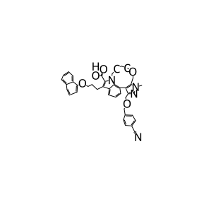 Cn1nc(COCc2ccc(C#N)cc2)c2c1COCCCCn1c(C(=O)O)c(CCCOc3cccc4ccccc34)c3cccc-2c31